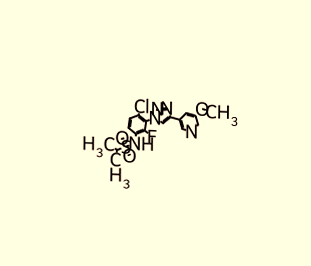 COc1cncc(-c2cn(-c3c(Cl)ccc(NS(=O)(=O)C(C)C)c3F)nn2)c1